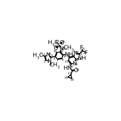 Cc1cn(C)c(-c2ccc(Nc3cc(NC(=O)C4CC4)nc4[nH]c(C(F)F)nc34)c(N(C)S(C)(=O)=O)c2)n1